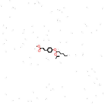 C=C(C)OC(CCCCC)Oc1ccc(C=CC(=O)OC)cc1